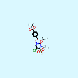 COC(=O)c1ccc(CON2C=C(Cl)C(S(=O)(=O)[O-])N(C)C2=O)cc1.[Na+]